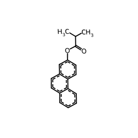 CC(C)C(=O)Oc1ccc2c(ccc3ccccc32)c1